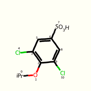 CC(C)Oc1c(Cl)cc(S(=O)(=O)O)cc1Cl